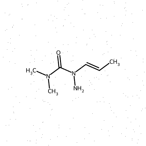 CC=CN(N)C(=O)N(C)C